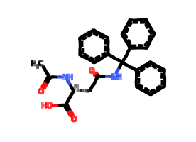 CC(=O)N[C@H](CC(=O)NC(c1ccccc1)(c1ccccc1)c1ccccc1)C(=O)O